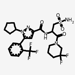 NS(=O)(=O)CC(NC(=O)c1cc(-c2ccccc2C(F)(F)F)n(C2CCCC2)n1)C(=O)N1CCCC(F)(F)C1